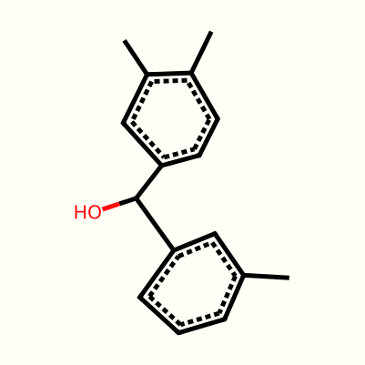 Cc1cccc(C(O)c2ccc(C)c(C)c2)c1